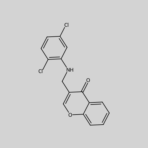 O=c1c(CNc2cc(Cl)ccc2Cl)coc2ccccc12